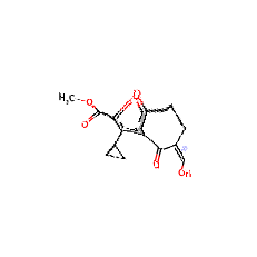 COC(=O)c1oc2c(c1C1CC1)C(=O)/C(=C\O)CC2